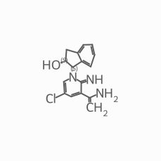 C=C(N)c1cc(Cl)cn([C@H]2c3ccccc3C[C@@H]2O)c1=N